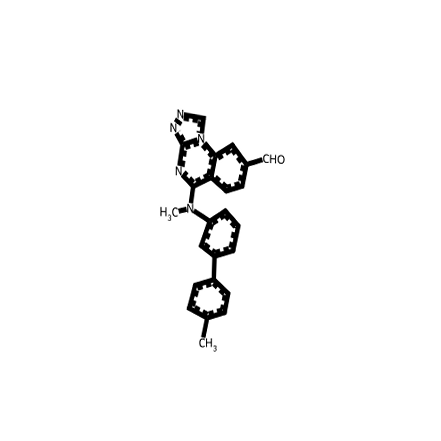 Cc1ccc(-c2cccc(N(C)c3nc4nncn4c4cc(C=O)ccc34)c2)cc1